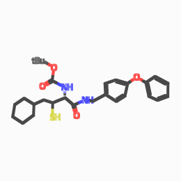 CC(C)(C)OC(=O)N[C@H](C(=O)NCc1ccc(Oc2ccccc2)cc1)C(S)CC1CCCCC1